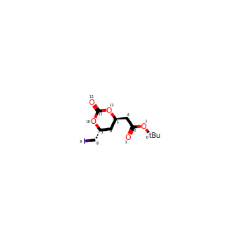 CC(C)(C)OC(=O)C[C@H]1C[C@H](CI)OC(=O)O1